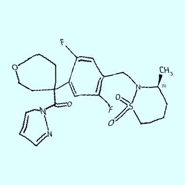 C[C@H]1CCCS(=O)(=O)N1Cc1cc(F)c(C2(C(=O)n3cccn3)CCOCC2)cc1F